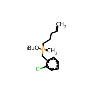 C=CCCCP(=C)(Cc1ccccc1Cl)OCC(C)C